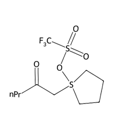 CCCC(=O)CS1(OS(=O)(=O)C(F)(F)F)CCCC1